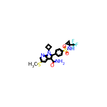 CSc1cnc2c(c1)c(C(N)=O)c(-c1ccc(S(=O)(=O)NC3(C(F)(F)F)CC3)cc1)n2C1CCC1